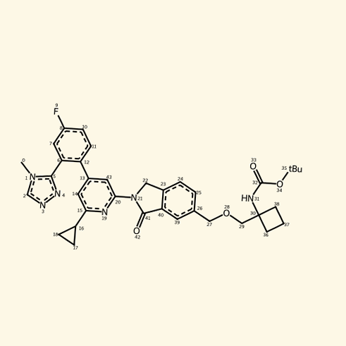 Cn1cnnc1-c1cc(F)ccc1-c1cc(C2CC2)nc(N2Cc3ccc(COCC4(NC(=O)OC(C)(C)C)CCC4)cc3C2=O)c1